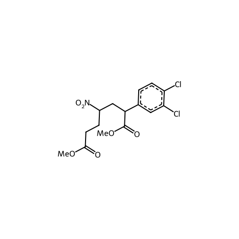 COC(=O)CCC(CC(C(=O)OC)c1ccc(Cl)c(Cl)c1)[N+](=O)[O-]